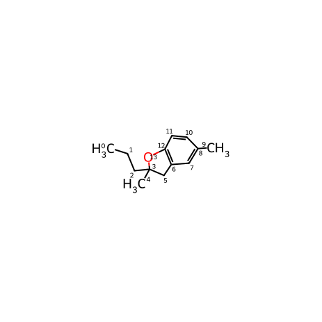 CCCC1(C)Cc2cc(C)ccc2O1